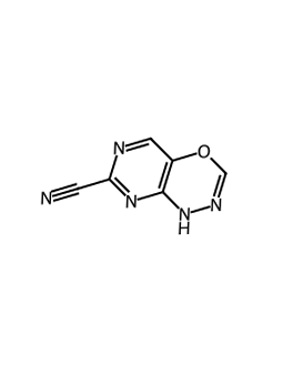 N#Cc1ncc2c(n1)NN=CO2